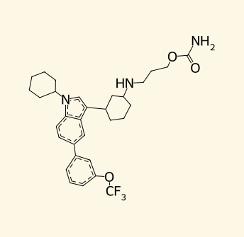 NC(=O)OCCCNC1CCCC(c2cn(C3CCCCC3)c3ccc(-c4cccc(OC(F)(F)F)c4)cc23)C1